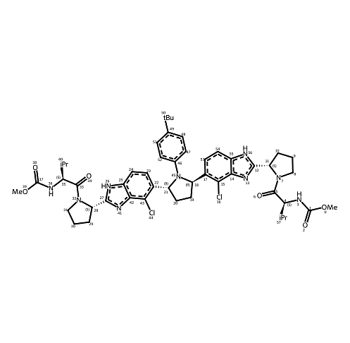 COC(=O)N[C@H](C(=O)N1CCC[C@H]1c1nc2c(Cl)c([C@H]3CC[C@H](c4ccc5[nH]c([C@@H]6CCCN6C(=O)[C@@H](NC(=O)OC)C(C)C)nc5c4Cl)N3c3ccc(C(C)(C)C)cc3)ccc2[nH]1)C(C)C